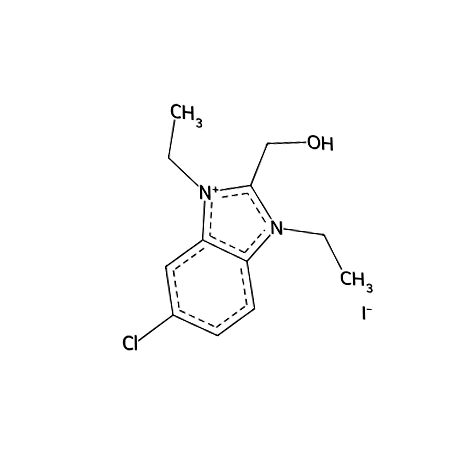 CCn1c(CO)[n+](CC)c2cc(Cl)ccc21.[I-]